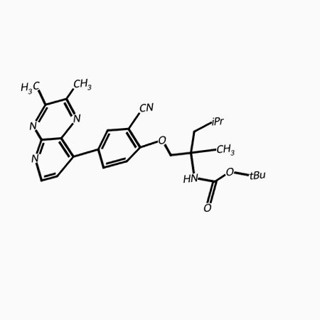 Cc1nc2nccc(-c3ccc(OCC(C)(CC(C)C)NC(=O)OC(C)(C)C)c(C#N)c3)c2nc1C